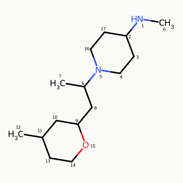 CNC1CCN(C(C)CC2CC(C)CCO2)CC1